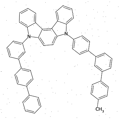 Cc1ccc(-c2cccc(-c3ccc(-n4c5ccccc5c5c6c7ccccc7n(-c7cccc(-c8ccc(-c9ccccc9)cc8)c7)c6ccc54)cc3)c2)cc1